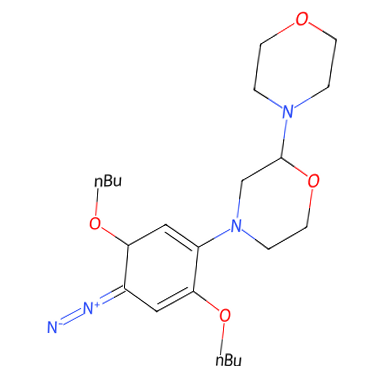 CCCCOC1=CC(=[N+]=[N-])C(OCCCC)C=C1N1CCOC(N2CCOCC2)C1